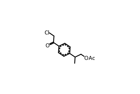 CC(=O)OCC(C)c1ccc(C(=O)CCl)cc1